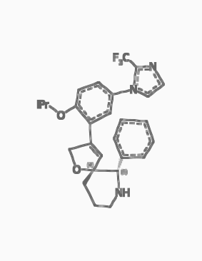 CC(C)Oc1ccc(-n2ccnc2C(F)(F)F)cc1C1=C[C@@]2(CCCN[C@H]2c2ccccc2)OC1